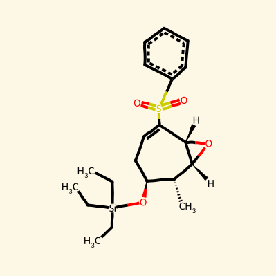 CC[Si](CC)(CC)O[C@H]1CC=C(S(=O)(=O)c2ccccc2)[C@@H]2O[C@@H]2[C@@H]1C